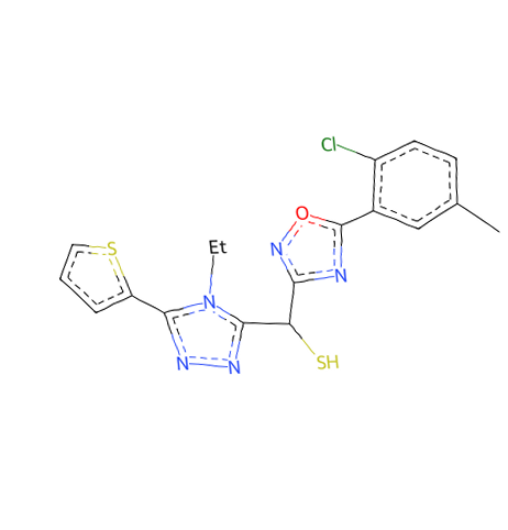 CCn1c(-c2cccs2)nnc1C(S)c1noc(-c2cc(C)ccc2Cl)n1